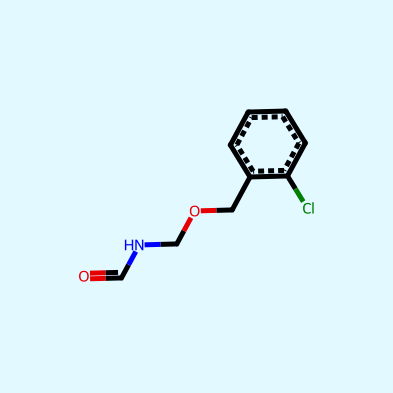 O=CNCOCc1ccccc1Cl